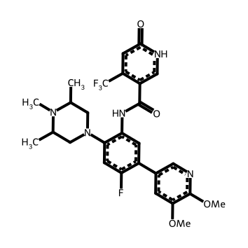 COc1cc(-c2cc(NC(=O)c3c[nH]c(=O)cc3C(F)(F)F)c(N3CC(C)N(C)C(C)C3)cc2F)cnc1OC